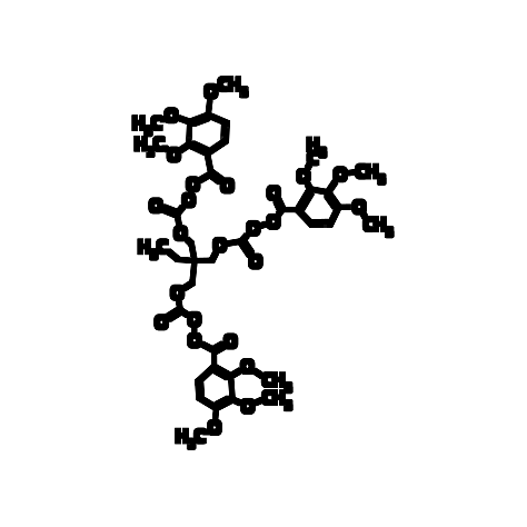 CCC(COC(=O)OOC(=O)c1ccc(OC)c(OC)c1OC)(COC(=O)OOC(=O)c1ccc(OC)c(OC)c1OC)COC(=O)OOC(=O)c1ccc(OC)c(OC)c1OC